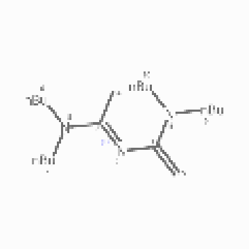 C=C(/N=C(\C)N(CCCC)CCCC)N(CCCC)CCCC